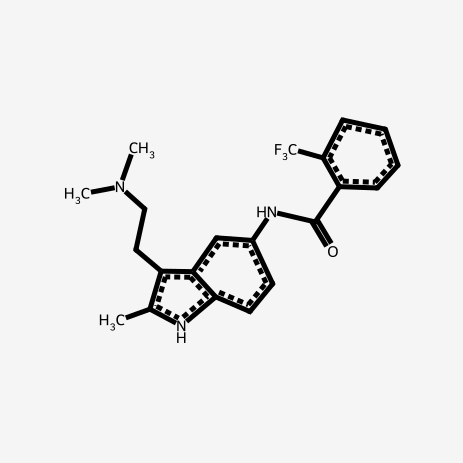 Cc1[nH]c2ccc(NC(=O)c3ccccc3C(F)(F)F)cc2c1CCN(C)C